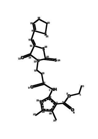 CCOC(=O)c1c(NC(=O)CCN2C(=O)/C(=C/C3=CCCS3)SC2=S)sc(C)c1C